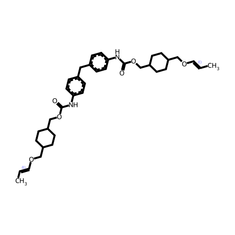 C/C=C/OCC1CCC(COC(=O)Nc2ccc(Cc3ccc(NC(=O)OCC4CCC(CO/C=C/C)CC4)cc3)cc2)CC1